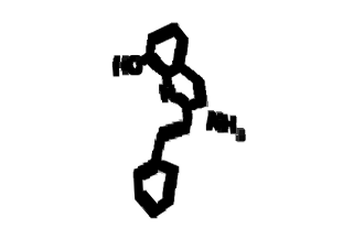 Oc1cccc2ccc(C=Cc3ccccc3)nc12.[AlH3]